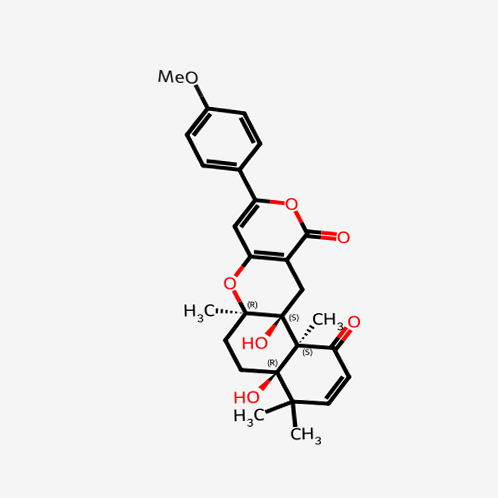 COc1ccc(-c2cc3c(c(=O)o2)C[C@]2(O)[C@@]4(C)C(=O)C=CC(C)(C)[C@]4(O)CC[C@@]2(C)O3)cc1